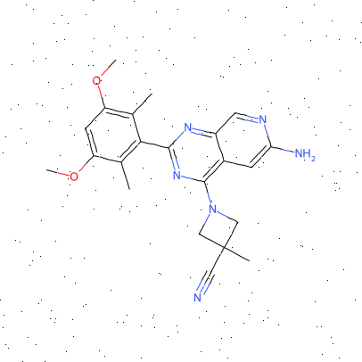 COc1cc(OC)c(C)c(-c2nc(N3CC(C)(C#N)C3)c3cc(N)ncc3n2)c1C